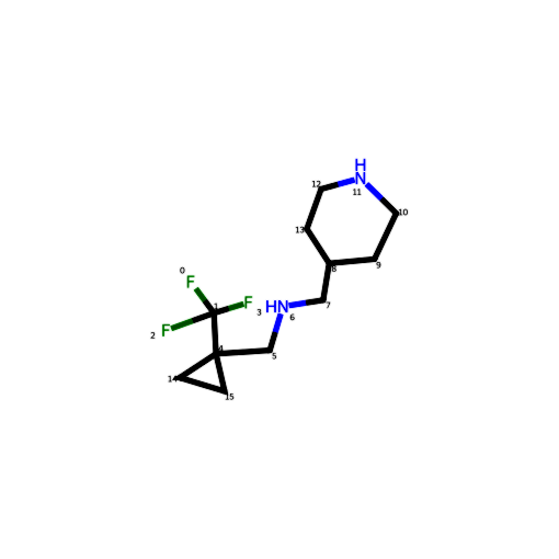 FC(F)(F)C1(CNCC2CCNCC2)CC1